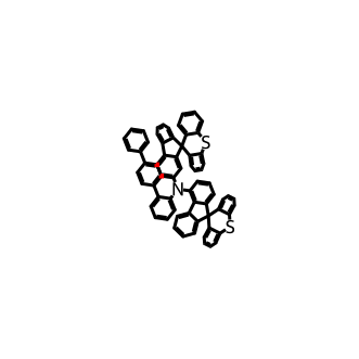 c1ccc(-c2ccc(-c3ccccc3N(c3ccc4c(c3)C3(c5ccccc5Sc5ccccc53)c3ccccc3-4)c3cccc4c3-c3ccccc3C43c4ccccc4Sc4ccccc43)cc2)cc1